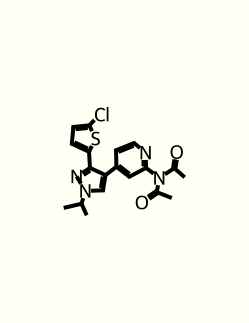 CC(=O)N(C(C)=O)c1cc(-c2cn(C(C)C)nc2-c2ccc(Cl)s2)ccn1